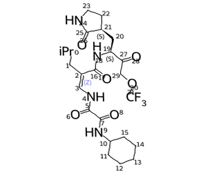 CC(C)C/C(=C/NC(=O)C(=O)NC1CCCCC1)C(=O)N[C@@H](C[C@@H]1CCNC1=O)C(=O)COC(F)(F)F